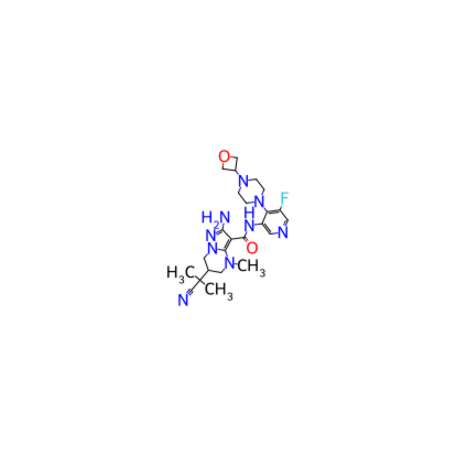 CN1CC(C(C)(C)C#N)Cn2nc(N)c(C(=O)Nc3cncc(F)c3N3CCN(C4COC4)CC3)c21